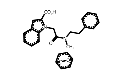 CN(CCc1ccccc1)C(=O)Cn1c(C(=O)O)cc2ccccc21.c1cc2ccc1CO2